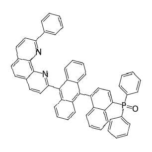 O=P(c1ccccc1)(c1ccccc1)c1ccc(-c2c3ccccc3c(-c3ccc4ccc5ccc(-c6ccccc6)nc5c4n3)c3ccccc23)c2ccccc12